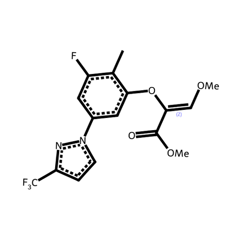 CO/C=C(\Oc1cc(-n2ccc(C(F)(F)F)n2)cc(F)c1C)C(=O)OC